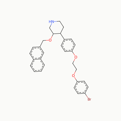 Brc1ccc(OCCOc2ccc(C3CCNCC3OCc3ccc4ccccc4c3)cc2)cc1